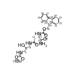 CC(C)(C)OC(=O)NCC(O)CNC(=O)C[C@H](NC(=O)OCC1c2ccccc2-c2ccccc21)C(N)=O